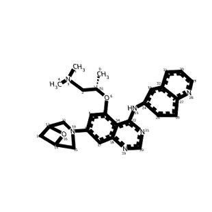 C[C@@H](CN(C)C)Oc1cc(N2CC3CC(C2)O3)cc2ncnc(Nc3ccc4ncccc4c3)c12